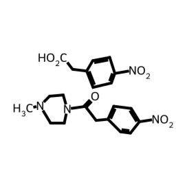 CN1CCN(C(=O)Cc2ccc([N+](=O)[O-])cc2)CC1.O=C(O)Cc1ccc([N+](=O)[O-])cc1